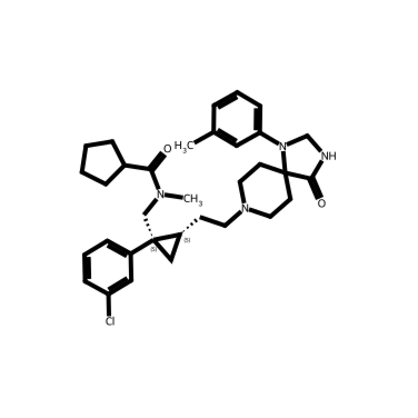 Cc1cccc(N2CNC(=O)C23CCN(CC[C@@H]2C[C@@]2(CN(C)C(=O)C2CCCC2)c2cccc(Cl)c2)CC3)c1